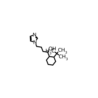 CC(C)(C)C1CCCCC1C(O)CCCn1ccnc1